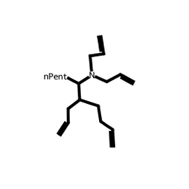 C=CCCC(CC=C)C(CCCCC)N(CC=C)CC=C